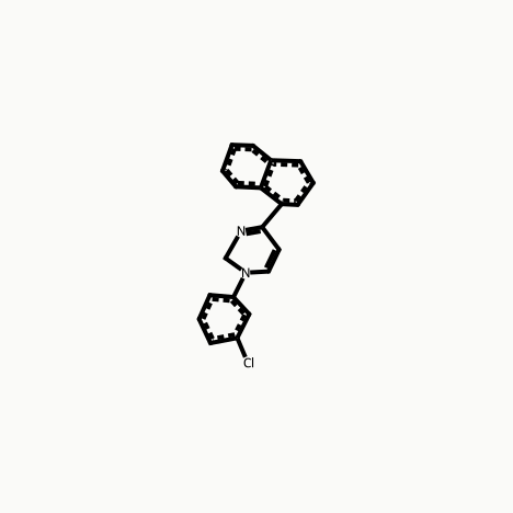 Clc1cccc(N2C=CC(c3cccc4ccccc34)=NC2)c1